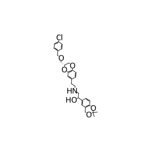 CC1(C)OCc2cc([C@@H](O)CNCCc3ccc4c(c3)O[C@H](COCc3ccc(Cl)cc3)CO4)ccc2O1